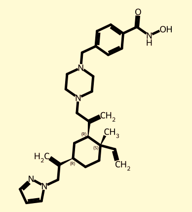 C=C[C@]1(C)CC[C@@H](C(=C)Cn2cccn2)C[C@H]1C(=C)CN1CCN(Cc2ccc(C(=O)NO)cc2)CC1